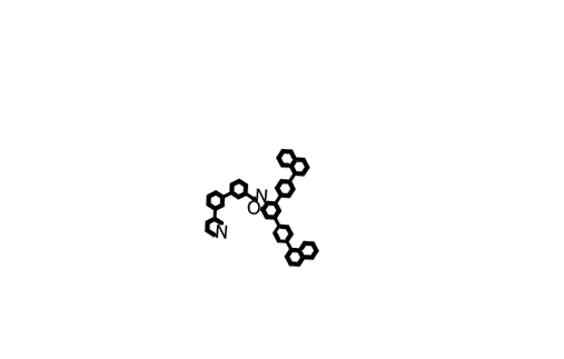 C1=C=C(c2cccc3ccccc23)C=CC=1c1cc(-c2ccc(-c3cccc4ccccc34)cc2)c2nc(-c3cccc(-c4cccc(-c5cccnc5)c4)c3)oc2c1